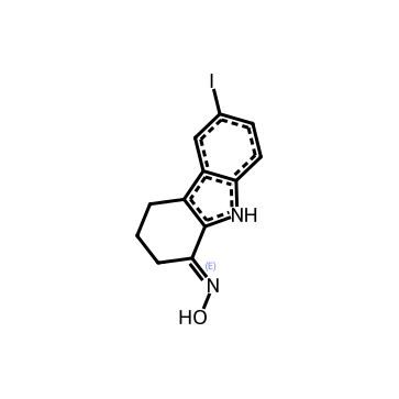 O/N=C1\CCCc2c1[nH]c1ccc(I)cc21